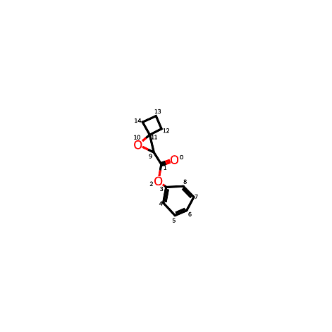 O=C(Oc1ccccc1)C1OC12CCC2